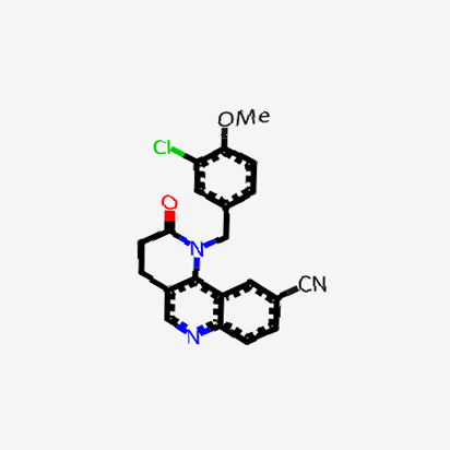 COc1ccc(CN2C(=O)CCc3cnc4ccc(C#N)cc4c32)cc1Cl